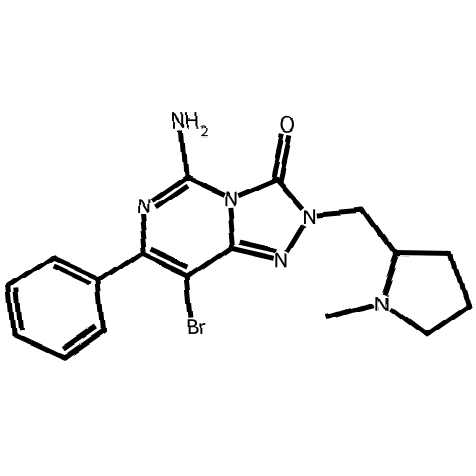 CN1CCCC1Cn1nc2c(Br)c(-c3ccccc3)nc(N)n2c1=O